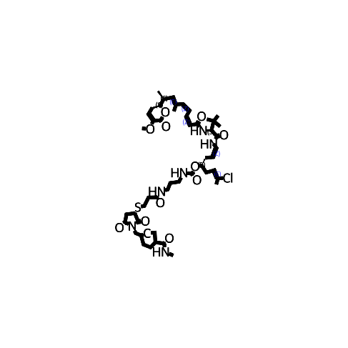 CNC(=O)C1CCC(CN2C(=O)CC(SCCC(=O)NCCCNC(=O)O[C@H](C/C=C\NC(=O)[C@@H](NC(=O)\C=C/C=C\C(C)=C\[C@H](C)[C@@H]3CC=C(OC)C(=O)O3)C(C)(C)C)C/C=C(\C)Cl)C2=O)CC1